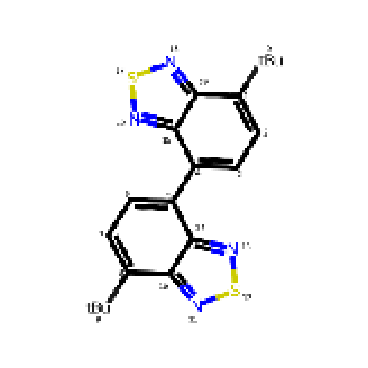 CC(C)(C)c1ccc(-c2ccc(C(C)(C)C)c3nsnc23)c2nsnc12